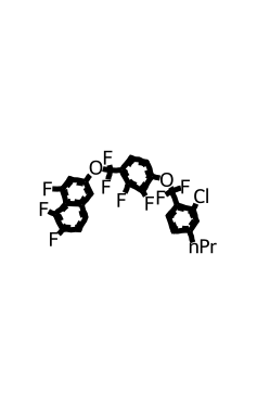 CCCc1ccc(C(F)(F)Oc2ccc(C(F)(F)Oc3cc(F)c4c(F)c(F)ccc4c3)c(F)c2F)c(Cl)c1